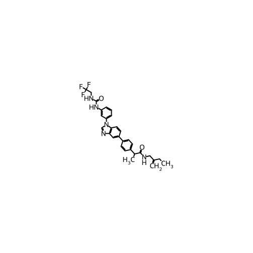 C=C(CC)CNC(=O)C(C)c1ccc(-c2ccc3c(c2)ncn3-c2cccc(NC(=O)NCC(F)(F)F)c2)cc1